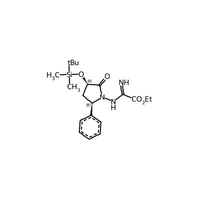 CCOC(=O)C(=N)NN1C(=O)[C@H](O[Si](C)(C)C(C)(C)C)C[C@@H]1c1ccccc1